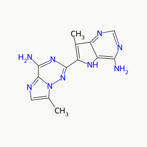 Cc1c(-c2nc(N)c3ncc(C)n3n2)[nH]c2c(N)ncnc12